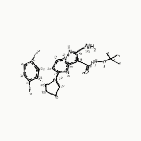 CC(C)(C)ONC(=O)c1c(N)nn2ccc(N3CCC[C@@H]3c3cc(F)ccc3F)nc12